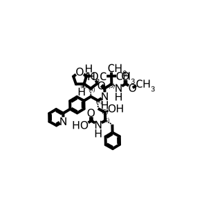 COC(=O)N[C@H](C(=O)N[C@H](C[C@@H](O)[C@H](Cc1ccccc1)NC(=O)O)C(c1ccc(-c2ccccn2)cc1)[C@H]1CO[C@@H]2OCC[C@@H]21)C(C)(C)C